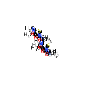 COc1cc2c(cc1-c1ccn(C)n1)-c1c(c(C(=O)N(C)C(C)(C)Cc3cc(-c4cc5c(cc4OC)OCc4c(C(=O)N(C)C(C)(C)C)nn(-c6ccsc6)c4-5)n(C)n3)nn1-c1ccsc1)CO2